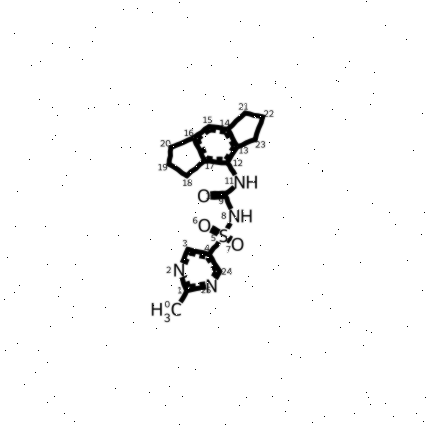 Cc1ncc(S(=O)(=O)NC(=O)Nc2c3c(cc4c2CCC4)CCC3)cn1